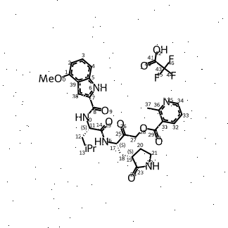 COc1cccc2[nH]c(C(=O)N[C@@H](CC(C)C)C(=O)N[C@@H](C[C@@H]3CCNC3=O)C(=O)COC(=O)c3cccnc3C)cc12.O=C(O)C(F)(F)F